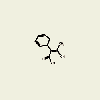 CC(=O)/C(=C(/C)O)C1C=CC=CC1